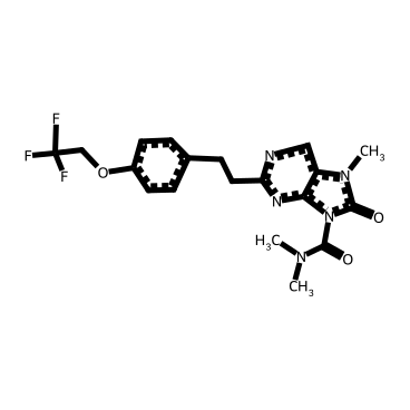 CN(C)C(=O)n1c(=O)n(C)c2cnc(CCc3ccc(OCC(F)(F)F)cc3)nc21